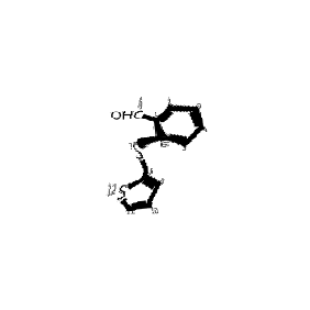 O=Cc1ccccc1Sc1cccs1